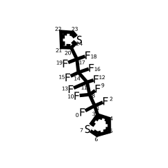 FC(F)(c1cccs1)C(F)(F)C(F)(F)C(F)(F)C(F)(F)c1cccs1